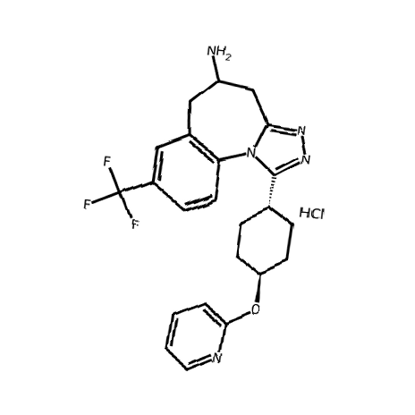 Cl.NC1Cc2cc(C(F)(F)F)ccc2-n2c(nnc2[C@H]2CC[C@H](Oc3ccccn3)CC2)C1